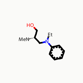 CCN(C[C@@H](CO)NC)c1ccccc1